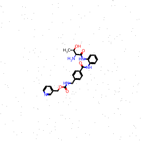 C[C@@H](O)[C@H](N)C(=O)Nc1ccccc1NC(=O)c1ccc(CNC(=O)OCc2cccnc2)cc1